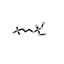 CCOP(=O)(OCC)OCCCS(C)(C)F